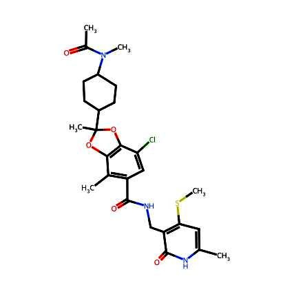 CSc1cc(C)[nH]c(=O)c1CNC(=O)c1cc(Cl)c2c(c1C)OC(C)(C1CCC(N(C)C(C)=O)CC1)O2